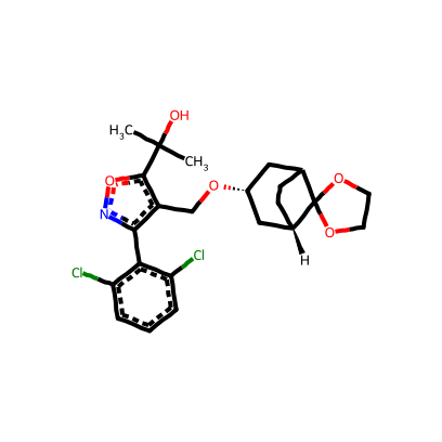 CC(C)(O)c1onc(-c2c(Cl)cccc2Cl)c1CO[C@@H]1CC2CC[C@@H](C1)C21OCCO1